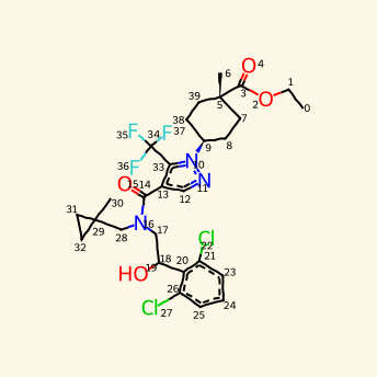 CCOC(=O)[C@]1(C)CC[C@@H](n2ncc(C(=O)N(CC(O)c3c(Cl)cccc3Cl)CC3(C)CC3)c2C(F)(F)F)CC1